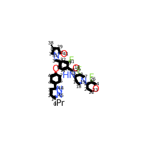 CC(C)c1ccc(-c2ccc(Oc3cc(C(=O)NC4CCN(C5CCOCC5F)CC4F)c(F)cc3CN3C[C@@H](C)CC3=O)cc2)nn1